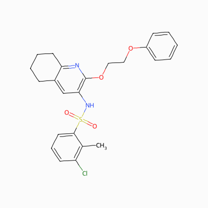 Cc1c(Cl)cccc1S(=O)(=O)Nc1cc2c(nc1OCCOc1ccccc1)CCCC2